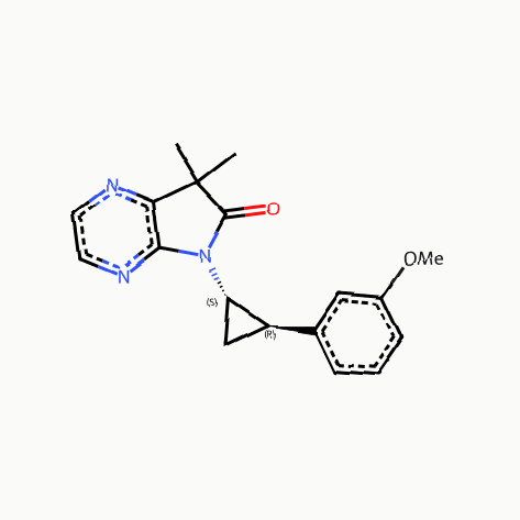 COc1cccc([C@H]2C[C@@H]2N2C(=O)C(C)(C)c3nccnc32)c1